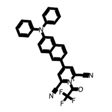 N#Cc1cc(-c2ccc3cc(N(c4ccccc4)c4ccccc4)ccc3c2)cc(C#N)[n+]1C(=O)C(F)(F)F